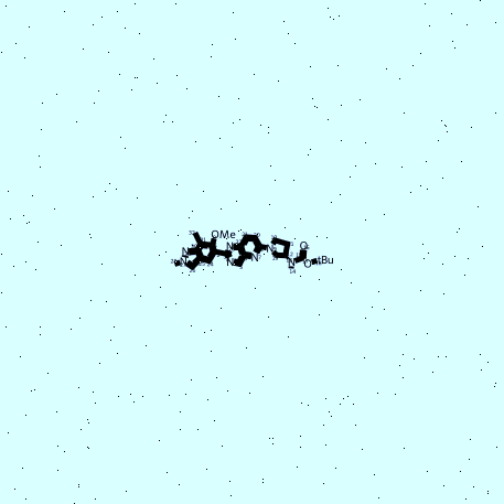 COc1c(-c2ncc3nc(N4CC[C@@H](N(C)C(=O)OC(C)(C)C)C4)ccc3n2)cc2cn(C)nc2c1C